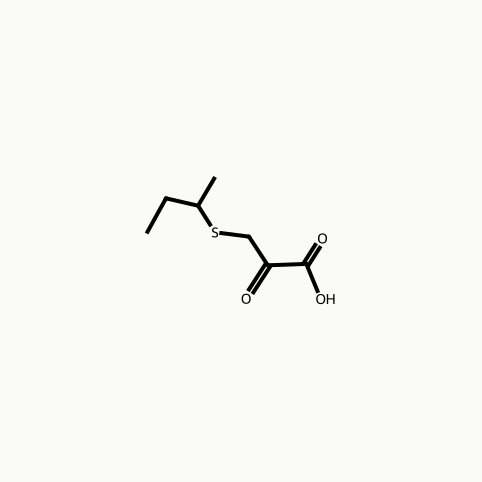 CCC(C)SCC(=O)C(=O)O